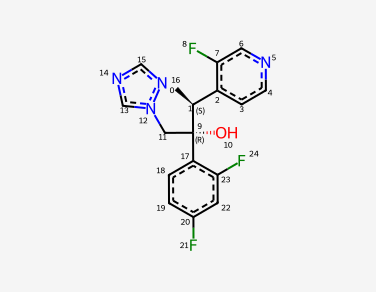 C[C@@H](c1ccncc1F)[C@](O)(Cn1cncn1)c1ccc(F)cc1F